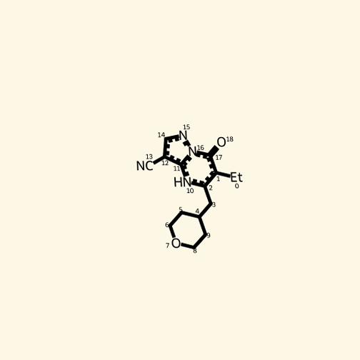 CCc1c(CC2CCOCC2)[nH]c2c(C#N)cnn2c1=O